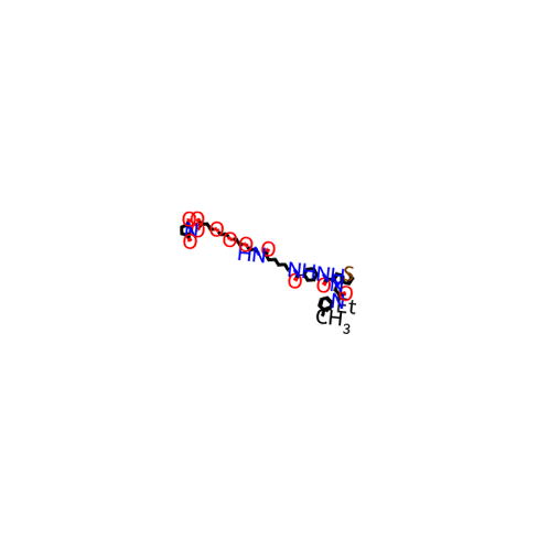 CCN(C(=O)Cn1c(C(=O)N[C@H]2CC[C@H](C(=O)NCCCCCC(=O)NCCOCCOCCOCCC(=O)ON3C(=O)CCC3=O)CC2)cc2sccc21)c1cccc(C)c1